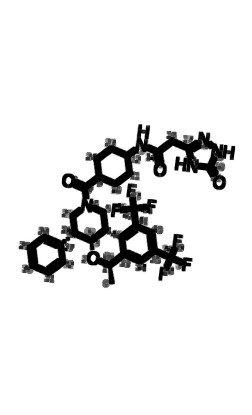 C[C@@H](O[C@H]1CCN(C(=O)C2CCC(NC(=O)Cc3n[nH]c(=O)[nH]3)CC2)C[C@H]1c1ccccc1)c1cc(C(F)(F)F)cc(C(F)(F)F)c1